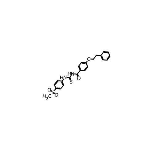 CS(=O)(=O)c1ccc(NC(=S)NC(=O)c2ccc(OCCc3ccccc3)cc2)cc1